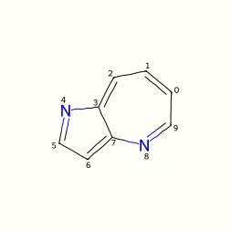 c1ccc2nccc-2nc1